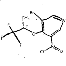 C[C@H](Oc1c(Br)cncc1[N+](=O)[O-])C(F)(F)F